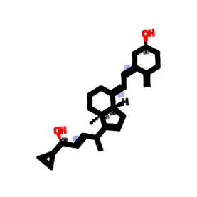 C=C1CC[C@H](O)C/C1=C/C=C1\CCC[C@]2(C)C(C(C)/C=C/[C@@H](O)C3CC3)=CC[C@@H]12